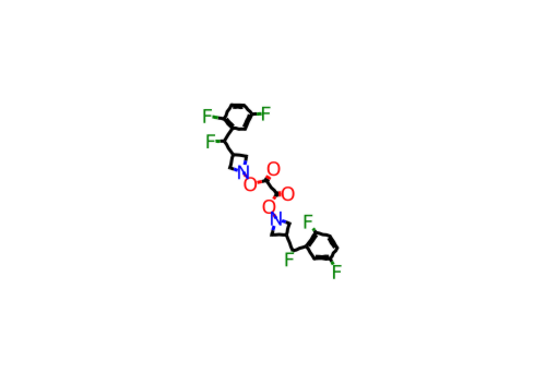 O=C(ON1CC(C(F)c2cc(F)ccc2F)C1)C(=O)ON1CC(C(F)c2cc(F)ccc2F)C1